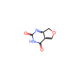 O=C1N=C2COC=C2C(=O)N1